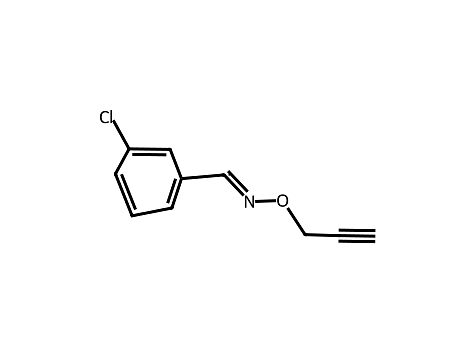 C#CCON=[C]c1cccc(Cl)c1